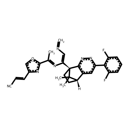 C=N/C=C(\N=C(/C)c1nc(/C=C/C#N)co1)[C@@]12CC[C@@H](c3cc(-c4c(F)cccc4F)nnc31)C2(C)C